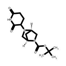 CC(C)(C)OC(=O)N1C[C@H]2C[C@@H]1CN2C1CCC(=O)NC1=O